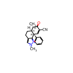 C[C@@H]1C(=O)C(C#N)=C[C@]2(c3ccccc3)c3nn(C)cc3CC[C@@H]12